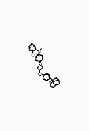 CN(c1ccc(N2CC(Oc3ccc(C45CC6CC(CC(C6)C4)C5)cc3)C2)cc1)c1ccccc1C(=O)O